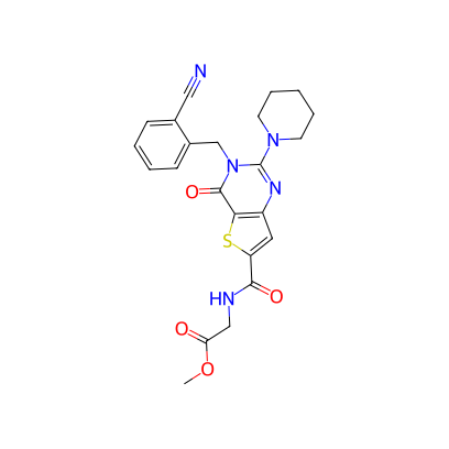 COC(=O)CNC(=O)c1cc2nc(N3CCCCC3)n(Cc3ccccc3C#N)c(=O)c2s1